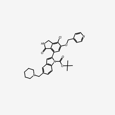 CC(C)(C)OC(=O)n1c(-c2cc(OCc3ccncc3)c(Cl)c3c2C(=O)NC3)cc2cc(CN3CCCCC3)ccc21